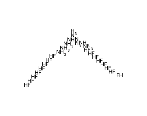 F.F.F.F.F.F.F.F.F.F.F.F.F.F.F.F.N.N.N.N.N.N.N.N